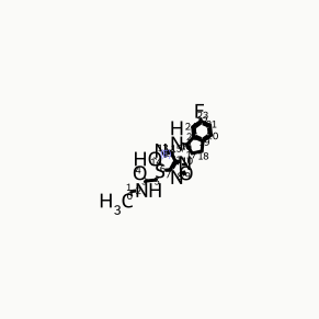 CCNC(=O)CSc1nonc1/C(=N\O)N[C@@H]1CCc2ccc(F)cc21